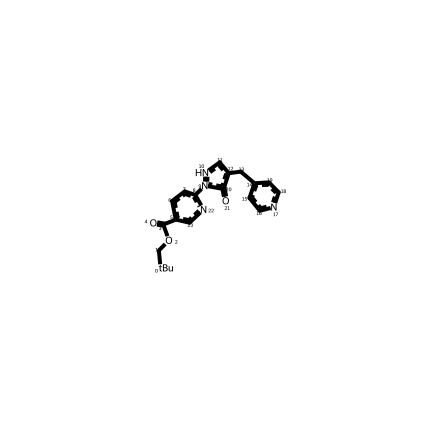 CC(C)(C)COC(=O)c1ccc(-n2[nH]cc(Cc3ccncc3)c2=O)nc1